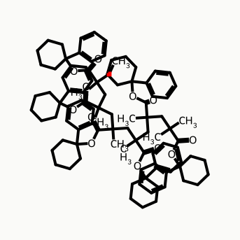 CCC(C)(CC(C)(CC(C)(CC(C)(CC(C)(CC(C)(C)C(=O)OC1(c2ccccc2)CCCCC1)C(=O)OC1(c2ccccc2)CCCCC1)C(=O)OC1(c2ccccc2)CCCCC1)C(=O)OC1(c2ccccc2)CCCCC1)C(=O)OC1(c2ccccc2)CCCCC1)C(=O)OC1(c2ccccc2)CCCCC1